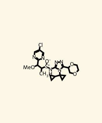 COC(c1ncc(Cl)cn1)C(C)[S+]([O-])Nc1nnc(C2COCCO2)n1C1(C2CC2)CC1